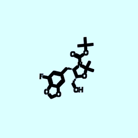 CC(C)(C)OC(=O)N1[C@@H](Cc2cc(F)c3c(c2)OCO3)[C@@H](CO)OC1(C)C